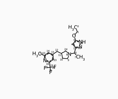 CCOc1cc(C(C)N2CCC(Cc3cc(C)nc(C(F)(F)F)c3)C2)n[nH]1